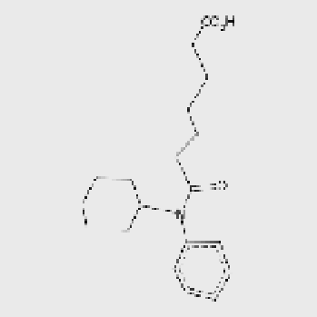 O=C(O)CCCCCC(=O)N(c1ccccc1)C1CCCCC1